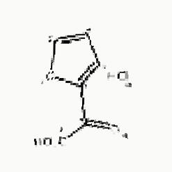 Cl.O=C(O)C(=O)c1ccco1